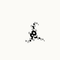 CCOC(=O)COc1cc2c(=O)cc(C(=O)OCC)n(CC(=O)OCC)c2ccc1=O